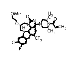 C=CC(=O)N1[C@H](C)CN(c2nc(=O)n3c4c(cc(C(F)(F)F)cc24)[SH](c2cc(Cl)c(F)cc2F)C[C@H](OCCOC)C3)C[C@@H]1C